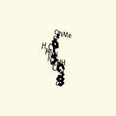 CNC(=O)COc1ccc(-c2nc3c(NC4CCN(Cc5ccc6c(c5)CCO6)CC4)c(Cl)cnc3[nH]2)c(C)c1